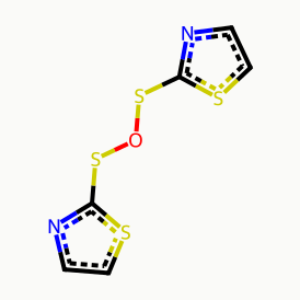 c1csc(SOSc2nccs2)n1